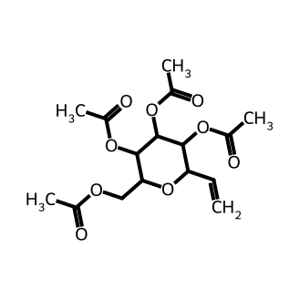 C=CC1OC(COC(C)=O)C(OC(C)=O)C(OC(C)=O)C1OC(C)=O